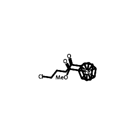 COC(=O)[C]12[CH]3[CH]4[CH]5[CH]1[Fe]45321678[CH]2[CH]1[CH]6[C]7(C(=O)CCCCl)[CH]28